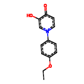 CCOc1ccc(-n2ccc(=O)c(O)c2)cc1